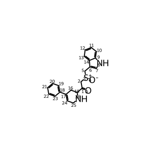 O=C(C[S+]([O-])Cc1c[nH]c2ccccc12)C1CC(c2ccccc2)=CCN1